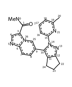 CNC(=O)c1cnc2ccc(-c3c4c(nn3-c3cccc(C)n3)CCC4)cn12